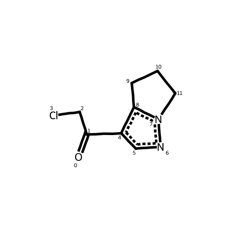 O=C(CCl)c1cnn2c1CCC2